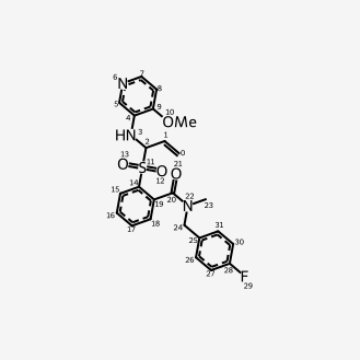 C=CC(Nc1cnccc1OC)S(=O)(=O)c1ccccc1C(=O)N(C)Cc1ccc(F)cc1